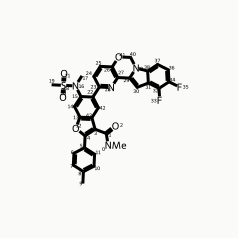 CNC(=O)c1c(-c2ccc(C)cc2)oc2cc(N(C)S(C)(=O)=O)c(-c3ccc4c(n3)-c3cc5c(F)c(F)ccc5n3CO4)cc12